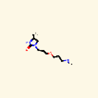 CCNCCCOCCCN1CC(C)NC1=O